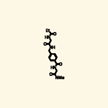 CCC(=O)NCC(=O)NCc1ccc(C(=O)NCC(=O)NC)cc1